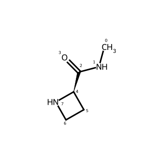 CNC(=O)[C@H]1CCN1